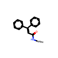 CCCCCCNC(=O)C=C(c1ccccc1)c1ccccc1